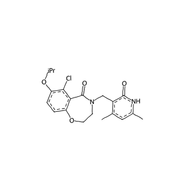 Cc1cc(C)c(CN2CCOc3ccc(OC(C)C)c(Cl)c3C2=O)c(=O)[nH]1